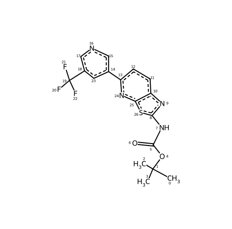 CC(C)(C)OC(=O)Nc1nc2ccc(-c3cncc(C(F)(F)F)c3)nc2s1